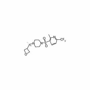 Cc1nc(C(F)(F)F)ccc1S(=O)(=O)N1CCN([C@@H](C)C2COC2)CC1